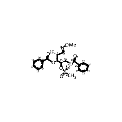 CO/N=C/[C@@H](F)[C@H](OC(=O)c1ccccc1)[C@@H](COC(=O)c1ccccc1)OS(C)(=O)=O